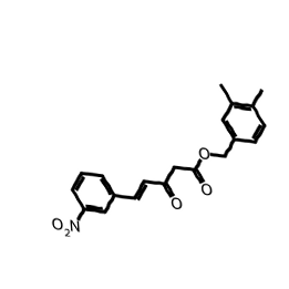 Cc1ccc(COC(=O)CC(=O)C=Cc2cccc([N+](=O)[O-])c2)cc1C